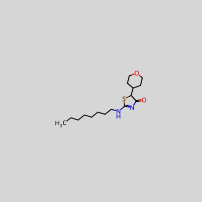 CCCCCCCCNC1=NC(=O)C(C2CCOCC2)S1